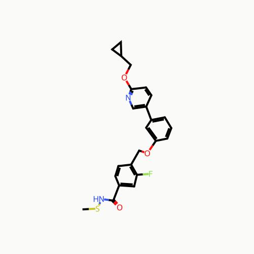 CSNC(=O)c1ccc(COc2cccc(-c3ccc(OCC4CC4)nc3)c2)c(F)c1